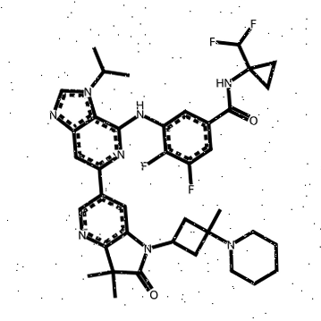 CC(C)n1cnc2cc(-c3cnc4c(c3)N(C3CC(C)(N5CCCCC5)C3)C(=O)C4(C)C)nc(Nc3cc(C(=O)NC4(C(F)F)CC4)cc(F)c3F)c21